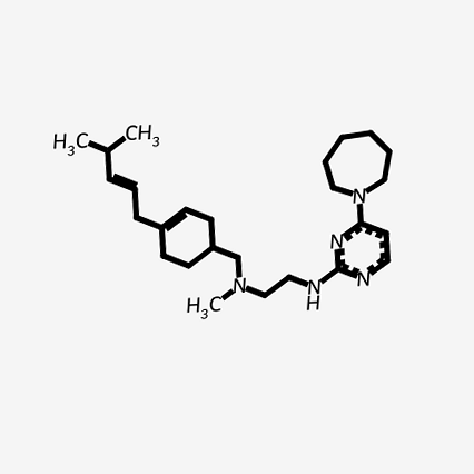 CC(C)C=CCC1=CCC(CN(C)CCNc2nccc(N3CCCCCC3)n2)CC1